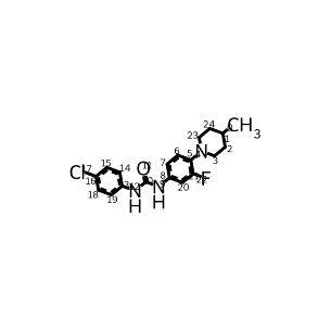 CC1CCN(c2ccc(NC(=O)Nc3ccc(Cl)cc3)cc2F)CC1